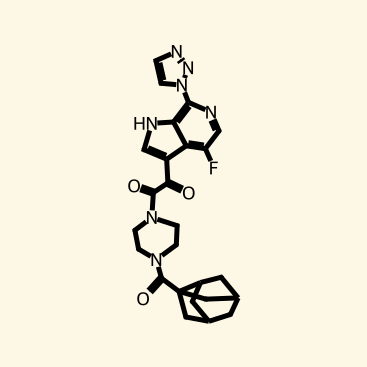 O=C(C(=O)N1CCN(C(=O)C23CC4CC(CC2C4)C3)CC1)c1c[nH]c2c(-n3ccnn3)ncc(F)c12